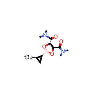 CN(C)C(=O)[C@H]1OB([C@@H]2C[C@H]2C(C)(C)C)O[C@@H]1C(=O)N(C)C